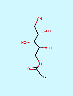 CCCC(=O)OC[C@@H](O)[C@H](O)[C@@H](O)CO